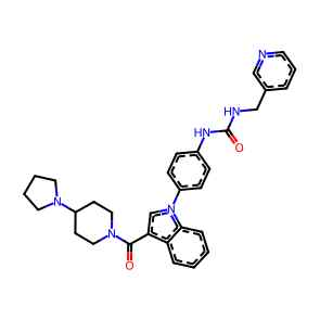 O=C(NCc1cccnc1)Nc1ccc(-n2cc(C(=O)N3CCC(N4CCCC4)CC3)c3ccccc32)cc1